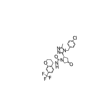 Cc1nnc([C@H]2CC(=O)CN2C(=O)N[C@H]2CCOc3cc(C(F)(F)F)ccc32)n1Cc1ccc(Cl)cc1